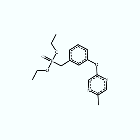 CCOP(=O)(Cc1cccc(Oc2cnc(C)cn2)c1)OCC